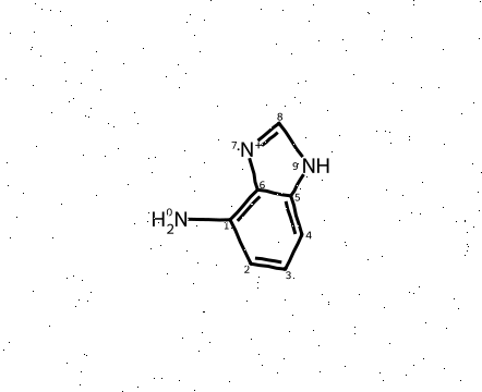 Nc1cccc2c1[N+]=CN2